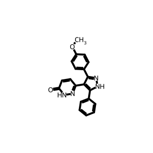 COc1ccc(-c2n[nH]c(-c3ccccc3)c2-c2ccc(=O)[nH]n2)cc1